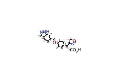 O=C(O)C[C@@H](c1ccc(OCc2ccc3cn[nH]c3c2)cc1)c1ccon1